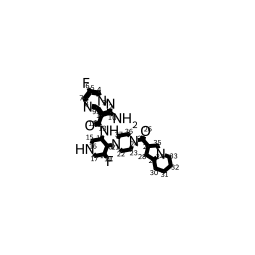 Nc1nn2cc(F)cnc2c1C(=O)NC1CNCC(F)C1N1CCN(C(=O)C2CC3CCCCN3C2)CC1